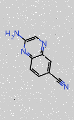 N#Cc1ccc2nc(N)cnc2c1